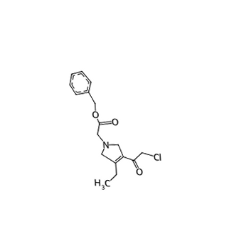 CCC1=C(C(=O)CCl)CN(CC(=O)OCc2ccccc2)C1